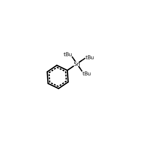 C[C](C)(C)[Sn]([c]1ccccc1)([C](C)(C)C)[C](C)(C)C